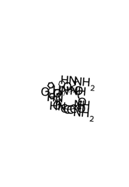 N=C(N)CC[C@@H]1NC(=O)C=CC(=O)N[C@H](C(N)=O)CCCCNC(=O)[C@@H](Cc2ccc(C(=O)c3ccccc3)cc2)NC(=O)[C@H](CC2CCCCC2)NC1=O